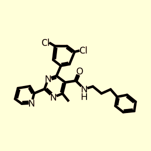 Cc1nc(-c2ccccn2)nc(-c2cc(Cl)cc(Cl)c2)c1C(=O)NCCCc1ccccc1